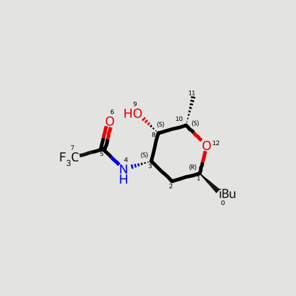 CCC(C)[C@H]1C[C@H](NC(=O)C(F)(F)F)[C@H](O)[C@H](C)O1